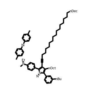 CCCCCCCCCCCCCCCCCCCCCCCCCC#CC1=C(c2ccc(N(C)CC)cc2)[N+](=[N-])C(c2cccc(CCCC)c2)=C1CCCCCCCC.Cc1cc[c]([Ni][c]2ccc(C)cc2)cc1